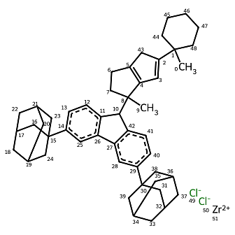 CC1(C2=CC3=C(CCC3(C)C3c4ccc(C56CC7CC(CC(C7)C5)C6)cc4-c4cc(C56CC7CC(CC(C7)C5)C6)ccc43)C2)CCCCC1.[Cl-].[Cl-].[Zr+2]